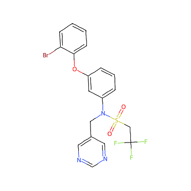 O=S(=O)(CC(F)(F)F)N(Cc1cncnc1)c1cccc(Oc2ccccc2Br)c1